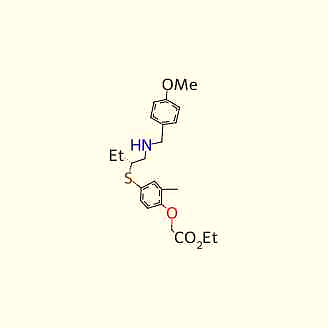 CCOC(=O)COc1ccc(S[C@H](CC)CNCc2ccc(OC)cc2)cc1C